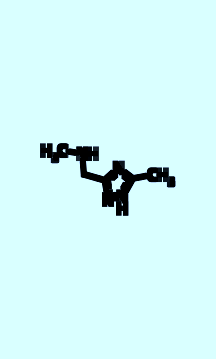 CNCc1n[nH]c(C)n1